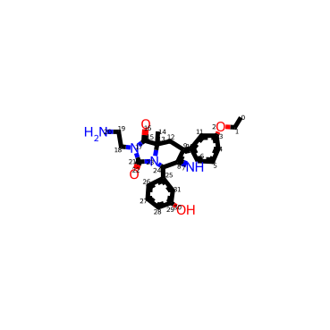 CCOc1ccc2[nH]c3c(c2c1)CC1(C)C(=O)N(CCN)C(=O)N1C3c1cccc(O)c1